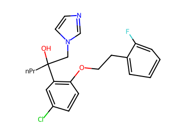 CCCC(O)(Cn1ccnc1)c1cc(Cl)ccc1OCCc1ccccc1F